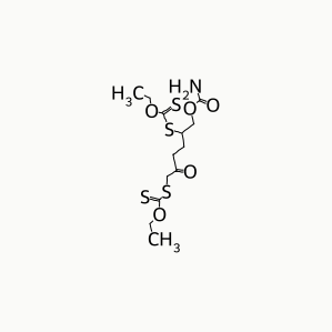 CCOC(=S)SCC(=O)CCC(COC(N)=O)SC(=S)OCC